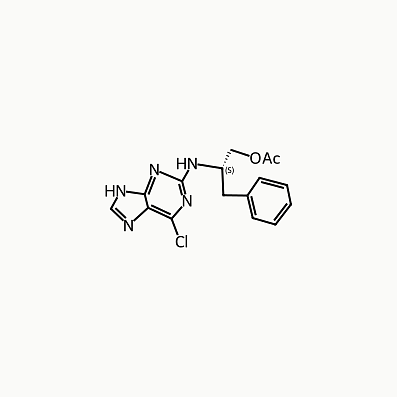 CC(=O)OC[C@H](Cc1ccccc1)Nc1nc(Cl)c2nc[nH]c2n1